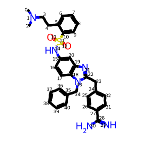 CN(C)CCc1ccccc1S(=O)(=O)Nc1ccc2c(c1)nc(Cc1ccc(C(=N)N)cc1)n2Cc1ccccc1